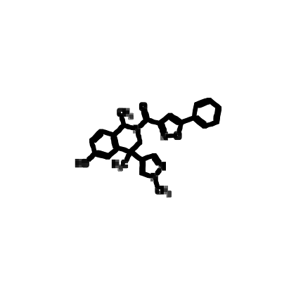 CC1c2ccc(O)cc2C(C)(c2cnn(C)c2)CN1C(=O)c1cc(-c2ccccc2)on1